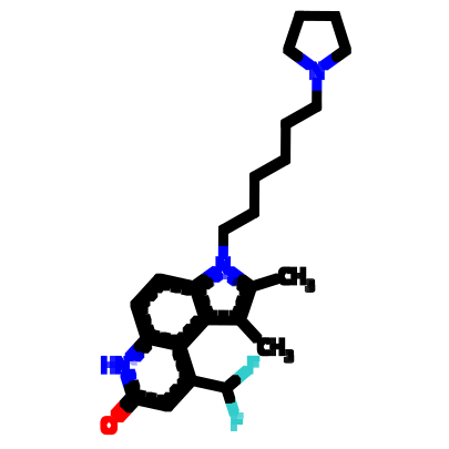 Cc1c(C)n(CCCCCCN2CCCC2)c2ccc3[nH]c(=O)cc(C(F)F)c3c12